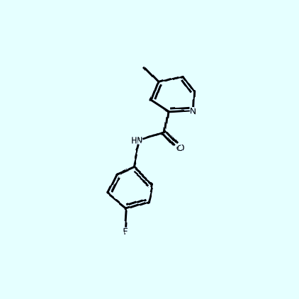 Cc1ccnc(C(=O)Nc2ccc(F)cc2)c1